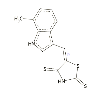 Cc1cccc2c(/C=C3/SC(=S)NC3=S)c[nH]c12